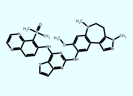 COc1cc2c(cc1Nc1nc(Nc3ccc4nccnc4c3P(C)(C)=O)c3sccc3n1)-c1cnn(C)c1CCN2C